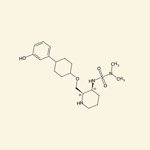 CN(C)S(=O)(=O)N[C@H]1CCCN[C@H]1COC1CCC(c2cccc(O)c2)CC1